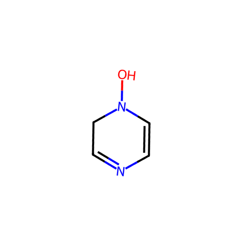 ON1C=CN=CC1